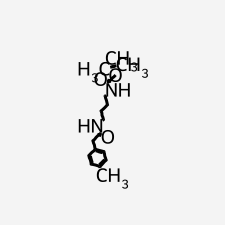 Cc1ccc(CC(=O)NCCCCNC(=O)OC(C)(C)C)cc1